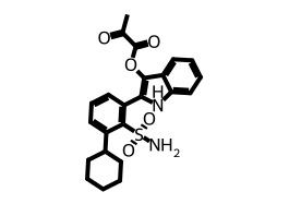 CC(=O)C(=O)Oc1c(-c2cccc(C3CCCCC3)c2S(N)(=O)=O)[nH]c2ccccc12